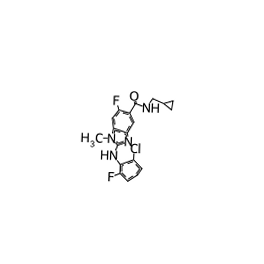 Cn1c(Nc2c(F)cccc2Cl)nc2cc(C(=O)NCC3CC3)c(F)cc21